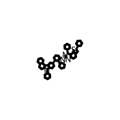 c1ccc(-c2cc3ccc4nc(-n5c6ccccc6c6c(-c7ccc8c(c7)c7c9ccccc9ccc7n8-c7ccccc7)cccc65)nc(-c5ccccc5)c4c3s2)cc1